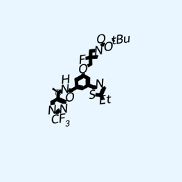 CCc1cnc(-c2cc(OCC3(F)CN(C(=O)OC(C)(C)C)C3)cc(C(=O)N[C@H](C)c3cnc(C(F)(F)F)nc3)c2)s1